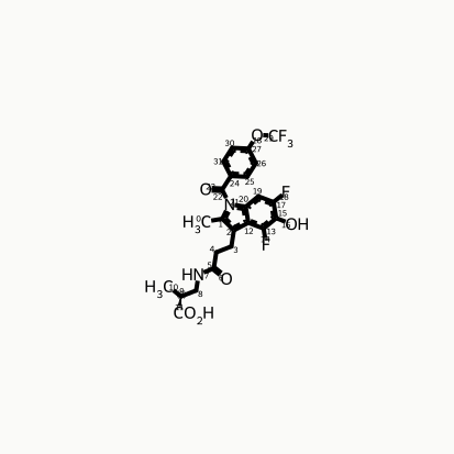 Cc1c(CCC(=O)NC[C@H](C)C(=O)O)c2c(F)c(O)c(F)cc2n1C(=O)c1ccc(OC(F)(F)F)cc1